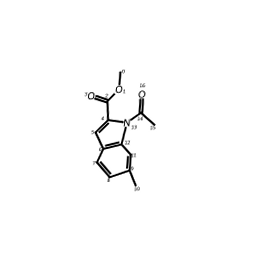 COC(=O)c1cc2ccc(C)cc2n1C(C)=O